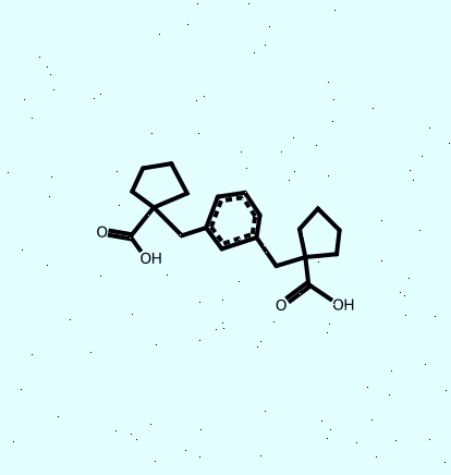 O=C(O)C1(Cc2cccc(CC3(C(=O)O)CCCC3)c2)CCCC1